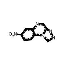 O=[N+]([O-])c1ccc2c(c1)ncc1nncn12